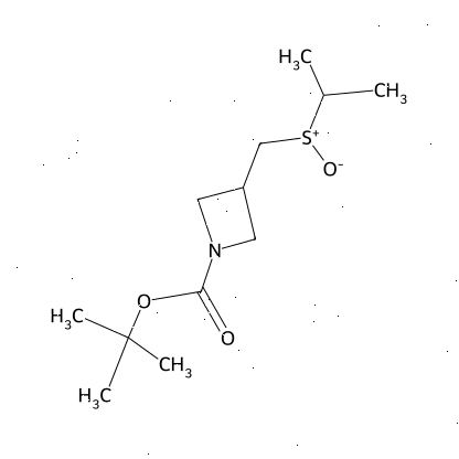 CC(C)[S+]([O-])CC1CN(C(=O)OC(C)(C)C)C1